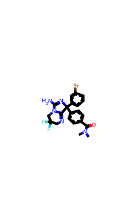 CN(C)C(=O)c1ccc(C2(c3cccc(Br)c3)N=C(N)N3CC(F)(F)CN=C32)cc1